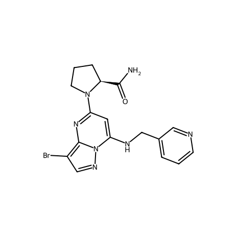 NC(=O)[C@@H]1CCCN1c1cc(NCc2cccnc2)n2ncc(Br)c2n1